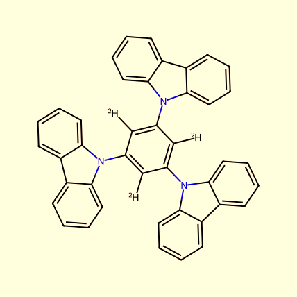 [2H]c1c(-n2c3ccccc3c3ccccc32)c([2H])c(-n2c3ccccc3c3ccccc32)c([2H])c1-n1c2ccccc2c2ccccc21